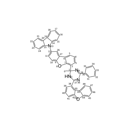 CC1(c2cccc3c2oc2ccc(-n4c5ccccc5c5ccccc54)cc23)N=C(c2ccccc2)N=C(c2cccc3oc4ccccc4c23)N1